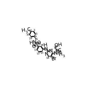 Cc1ccc(CNS(=O)(=O)c2cccc(Nc3ncc(Br)c(N[C@H](C)CO)n3)c2)cc1